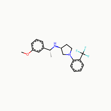 COc1cccc([C@@H](C)N[C@H]2CCN(c3ccccc3C(F)(F)F)C2)c1